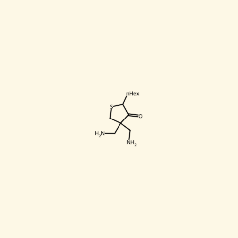 CCCCCCC1SCC(CN)(CN)C1=O